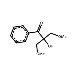 COCC(O)(COC)C(=O)c1ccccc1